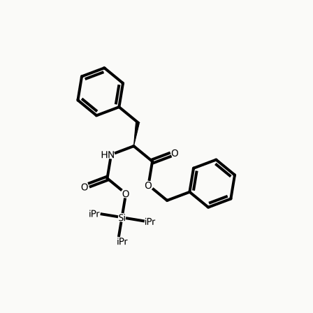 CC(C)[Si](OC(=O)N[C@@H](Cc1ccccc1)C(=O)OCc1ccccc1)(C(C)C)C(C)C